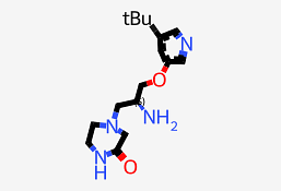 CC(C)(C)c1cncc(OC[C@@H](N)CN2CCNC(=O)C2)c1